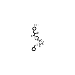 CC(=O)N[C@H](COCc1ccccc1)C(=O)N1CCN(C(=O)/C(C#N)=C/c2ccc(O)cc2)CC1